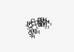 [2H]C1N[C@]2(CC[C@H](O[Si](C)(C)C(C)(C)C)c3c2ccnc3Cl)CO1